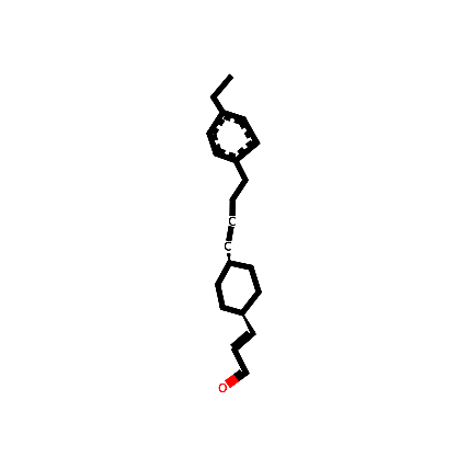 CCc1ccc(CCCC[C@H]2CC[C@H](C=CC=O)CC2)cc1